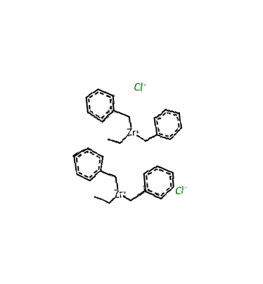 C[CH2][Zr+]([CH2]c1ccccc1)[CH2]c1ccccc1.C[CH2][Zr+]([CH2]c1ccccc1)[CH2]c1ccccc1.[Cl-].[Cl-]